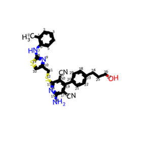 Cc1ccccc1Nc1nc(CSc2nc(N)c(C#N)c(-c3ccc(CCCO)cc3)c2C#N)cs1